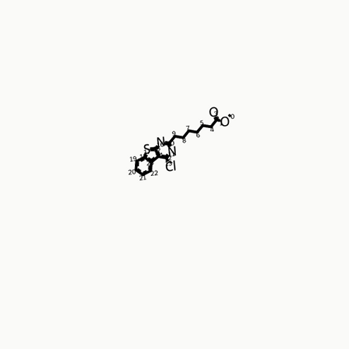 COC(=O)CCCCCCc1nc(Cl)c2c(n1)sc1ccccc12